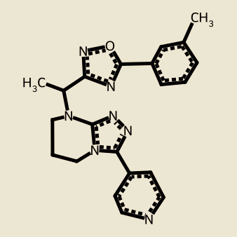 Cc1cccc(-c2nc(C(C)N3CCCn4c(-c5ccncc5)nnc43)no2)c1